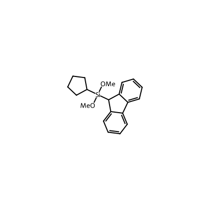 CO[Si](OC)(C1CCCC1)C1c2ccccc2-c2ccccc21